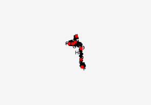 O=C(CCNCCOCCOc1ccc(F)cc1)N1CCc2nc(SC3CCC3)n(-c3ccc(F)cc3)c(=O)c2C1